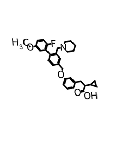 COc1ccc(F)c(-c2ccc(COc3cccc(CC(C(=O)O)C4CC4)c3)cc2CN2CCCCC2)c1